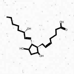 CCCCC[C@H](O)/C=C/[C@H]1C(O)CC(O)[C@@H]1C/C=C\CCCC(=O)O